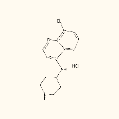 Cl.Clc1cccc2c(NC3CCNCC3)ccnc12